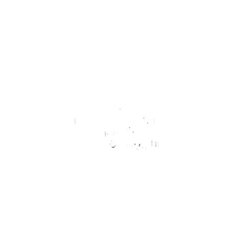 COc1ccc2cc(Br)ccc2c1C[N+]1(OC(=O)C(F)(F)F)C(=O)[C@@H](N)CNc2ccccc21